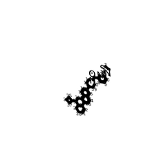 C1=NCCS1.O=C(c1ccccn1)N1CCC(c2ccc3c4c(ccc3c2)C2=C(CCC=C2)C(C2CCC2)C4)CC1